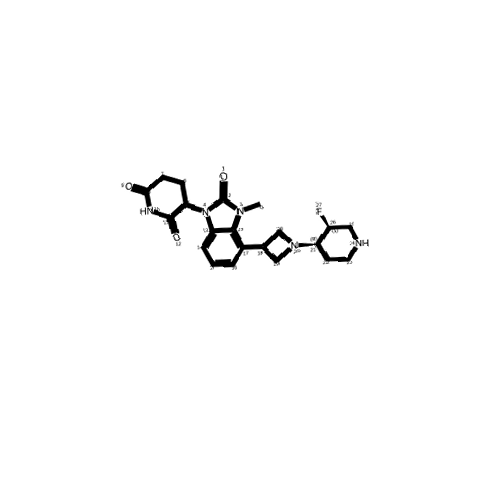 Cn1c(=O)n(C2CCC(=O)NC2=O)c2cccc(C3CN([C@@H]4CCNC[C@@H]4F)C3)c21